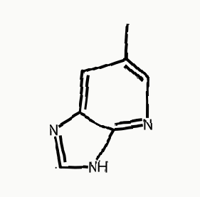 Cc1cnc2[nH][c]nc2c1